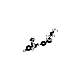 CCCC(=O)Nc1nccc(-c2ccc(OCC3COC(Cn4ccnc4)(c4ccc(Cl)cc4Cl)O3)cc2)n1